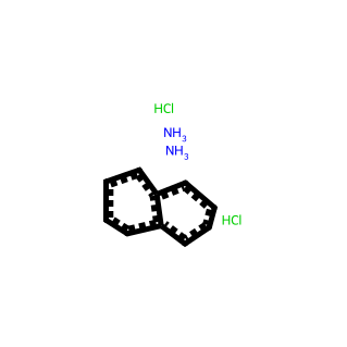 Cl.Cl.N.N.c1ccc2ccccc2c1